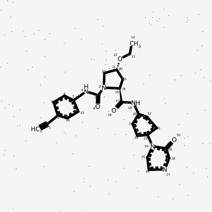 C#Cc1ccc(NC(=O)N2C[C@H](OCC)C[C@H]2C(=O)Nc2ccc(-n3ccncc3=O)cc2)cc1